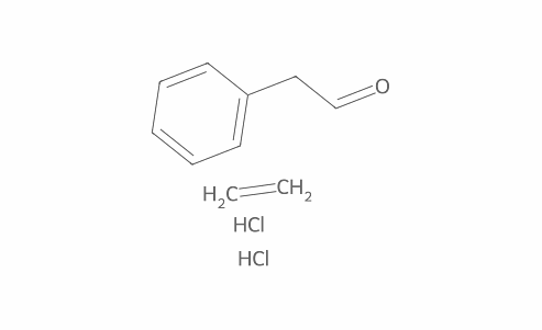 C=C.Cl.Cl.O=CCc1ccccc1